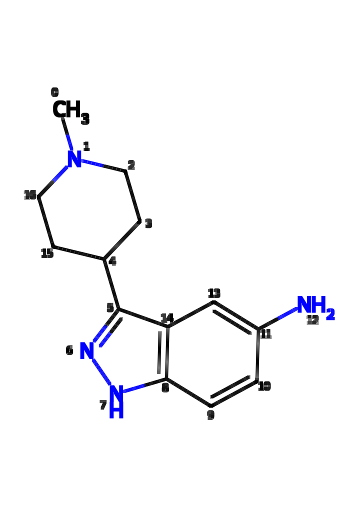 CN1CCC(c2n[nH]c3ccc(N)cc23)CC1